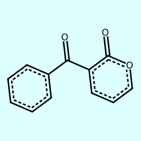 O=C(c1ccccc1)c1cccoc1=O